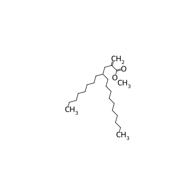 C=C(CC(CCCCCCCC)CCCCCCCCCC)C(=O)OC